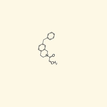 C=CC(=O)N1CCc2ccc(Cc3ccccc3)cc2C1